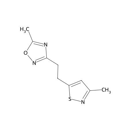 Cc1cc(CCc2noc(C)n2)sn1